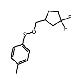 Cc1ccc(SOCC2CCC(F)(F)C2)cc1